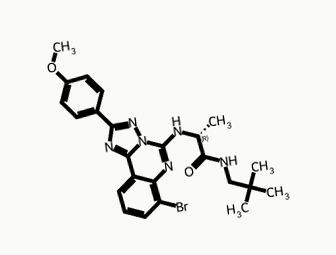 COc1ccc(-c2nc3c4cccc(Br)c4nc(N[C@H](C)C(=O)NCC(C)(C)C)n3n2)cc1